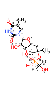 CCC(C)(C[C@H]1O[C@@H](n2cc(C)c(=O)[nH]c2=O)[C@H](O)[C@@H]1O)OP(=O)(O)C(O)(CC)CC